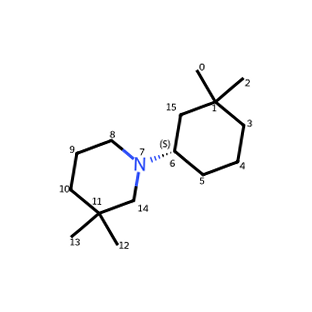 CC1(C)CCC[C@H](N2CCCC(C)(C)C2)C1